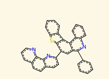 c1ccc(-c2nc3ccccc3c3c2cc(-c2ccc4ccc5cccnc5c4n2)c2sc4ccccc4c23)cc1